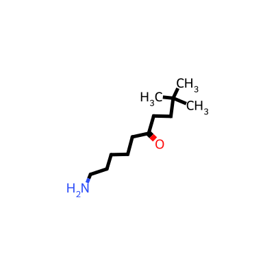 CC(C)(C)CCC(=O)CCCCCN